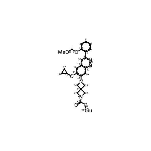 COCOc1ccccc1-c1cc2cc(OC3CC3)c(N3CC4(CN(C(=O)OC(C)(C)C)C4)C3)cc2nn1